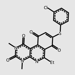 CCc1nc2c(c3c1C(=O)C(Sc1cccc(Cl)c1)=CC3=O)c(=O)n(C)c(=O)n2C